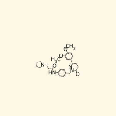 COc1ccc(C2=NN(Cc3ccc(NC(=O)CCN4CCCC4)cc3)C(=O)CC2)cc1OC